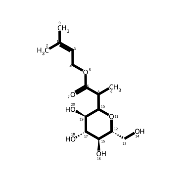 CC(C)=CCOC(=O)C(C)C1O[C@H](CO)[C@@H](O)[C@H](O)[C@H]1O